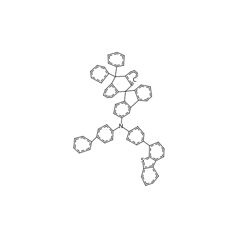 c1ccc(-c2ccc(N(c3ccc(-c4cccc5c4sc4ccccc45)cc3)c3ccc4c(c3)-c3ccccc3C43c4ccccc4C(c4ccccc4)(c4ccccc4)c4ccccc43)cc2)cc1